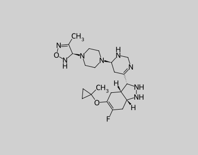 CC1=NON[C@@H]1N1CCN([C@@H]2CC([C@@H]3NN[C@@H]4CC(F)=C(OC5(C)CC5)C[C@@H]43)=NCN2)CC1